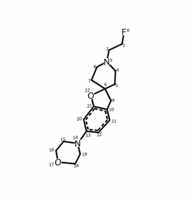 FCCN1CCC2(CC1)Cc1c[c]c(N3CCOCC3)cc1O2